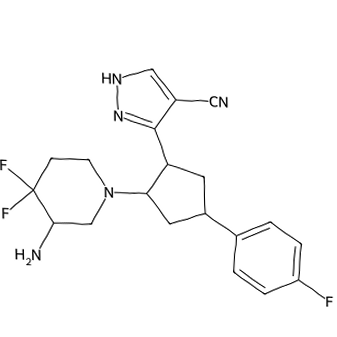 N#Cc1c[nH]nc1C1CC(c2ccc(F)cc2)CC1N1CCC(F)(F)C(N)C1